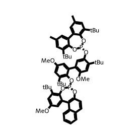 COc1cc(-c2cc(Op3oc4c(C(C)(C)C)cc(C)cc4c4cc(C)cc(C(C)(C)C)c4o3)c(C(C)(C)C)cc2OC)c(Op2oc3ccc4ccccc4c3c3cc(OC)cc(C(C)(C)C)c3o2)c(C(C)(C)C)c1